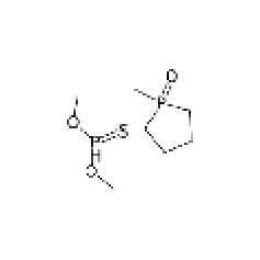 CO[PH](=S)OC.CP1(=O)CCCC1